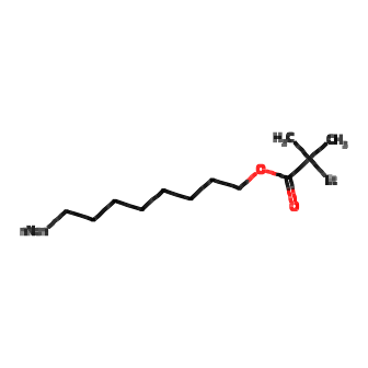 CCCCCCCCCCCCCCCCCOC(=O)C(C)(C)CC